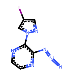 [N-]=[N+]=Nc1nccnc1-n1cc(I)cn1